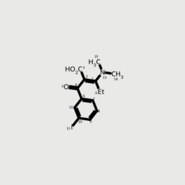 CCC(=C(C(=O)O)C(=O)c1cccc(I)c1)N(C)C